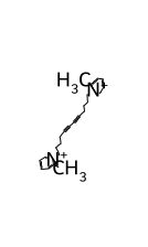 Cc1cccc[n+]1CCCCC#CC#CCCCC[n+]1ccccc1C